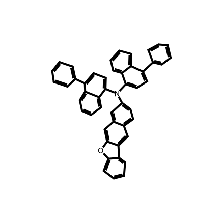 c1ccc(-c2ccc(N(c3ccc4cc5c(cc4c3)oc3ccccc35)c3ccc(-c4ccccc4)c4ccccc34)c3ccccc23)cc1